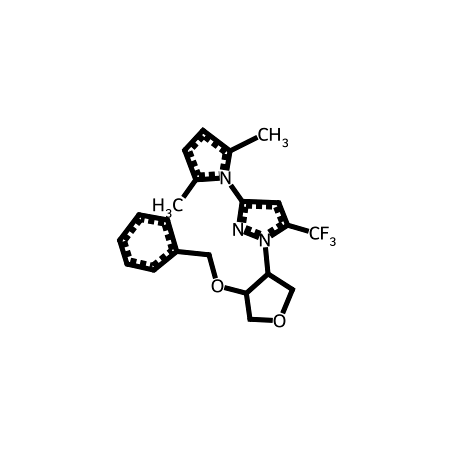 Cc1ccc(C)n1-c1cc(C(F)(F)F)n(C2COCC2OCc2ccccc2)n1